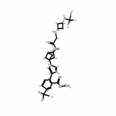 COC(=O)c1cc(C(F)(F)F)ccc1-c1cn(C23CC(C2)C(NC(=O)CO[C@H]2C[C@@H](OC(F)(F)F)C2)C3)cn1